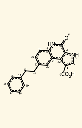 O=C(O)c1c[nH]c2c(=O)[nH]c3ccc(CCc4ccccc4)cc3c12